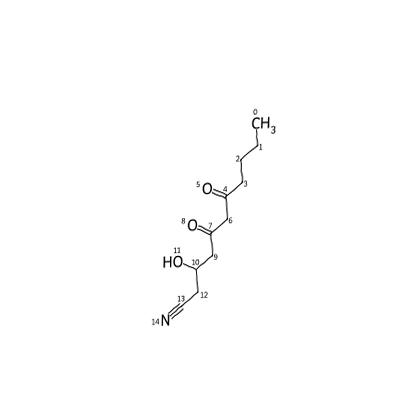 CCCCC(=O)CC(=O)CC(O)CC#N